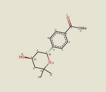 COC(=O)c1ccc([C@H]2C[C@H](O)CC(C)(C)O2)cc1